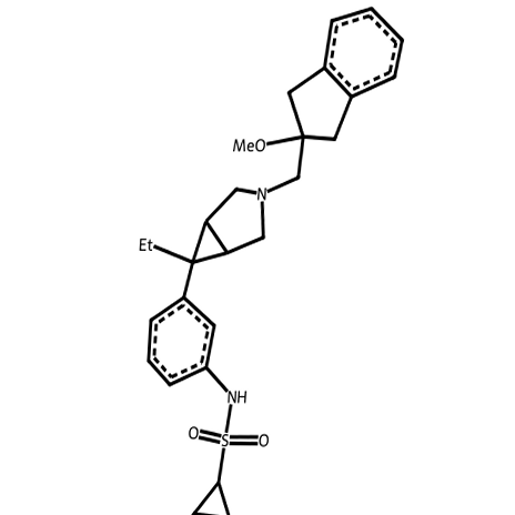 CCC1(c2cccc(NS(=O)(=O)C3CC3)c2)C2CN(CC3(OC)Cc4ccccc4C3)CC21